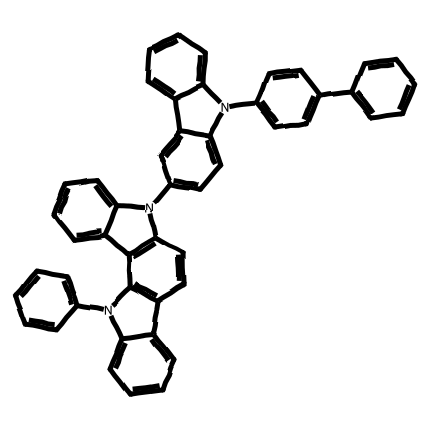 c1ccc(-c2ccc(-n3c4ccccc4c4cc(-n5c6ccccc6c6c5ccc5c7ccccc7n(-c7ccccc7)c56)ccc43)cc2)cc1